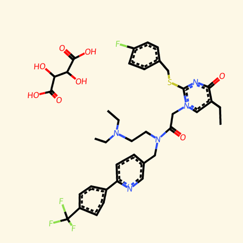 CCc1cn(CC(=O)N(CCN(CC)CC)Cc2ccc(-c3ccc(C(F)(F)F)cc3)nc2)c(SCc2ccc(F)cc2)nc1=O.O=C(O)C(O)C(O)C(=O)O